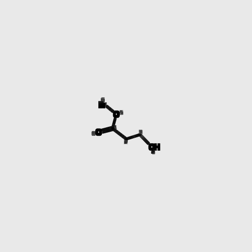 O=C(CCO)OBr